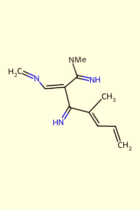 C=C/C=C(\C)C(=N)/C(=C/N=C)C(=N)NC